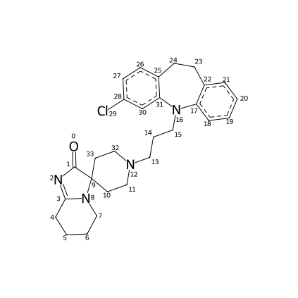 O=C1N=C2CCCCN2C12CCN(CCCN1c3ccccc3CCc3ccc(Cl)cc31)CC2